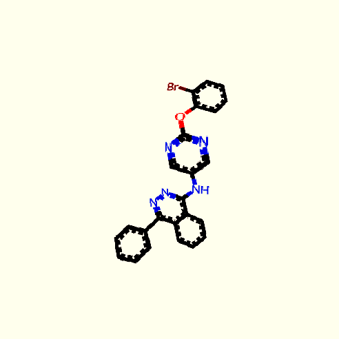 Brc1ccccc1Oc1ncc(Nc2nnc(-c3ccccc3)c3ccccc23)cn1